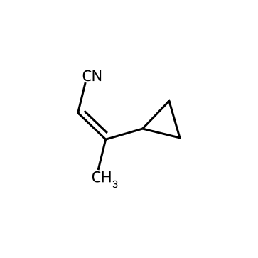 C/C(=C/C#N)C1CC1